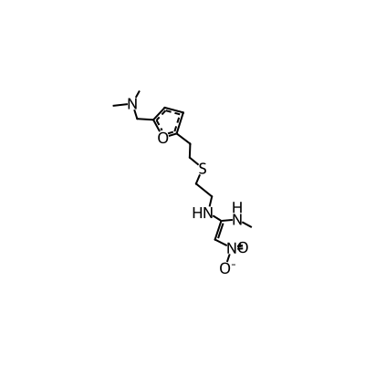 CNC(=C[N+](=O)[O-])NCCSCCc1ccc(CN(C)C)o1